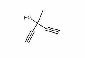 C#CC(C)(O)C#C